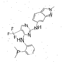 Cn1cc2ccc(Nc3ncc(C(F)(F)F)c(Nc4ccccc4P(C)C)n3)cc2n1